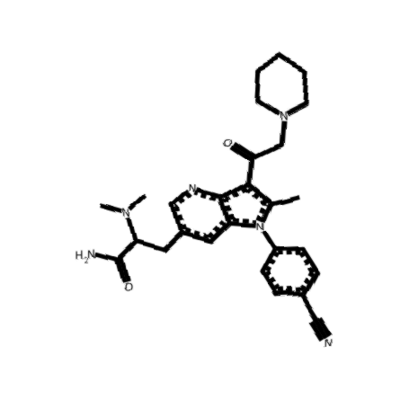 Cc1c(C(=O)CN2CCCCC2)c2ncc(CC(C(N)=O)N(C)C)cc2n1-c1ccc(C#N)cc1